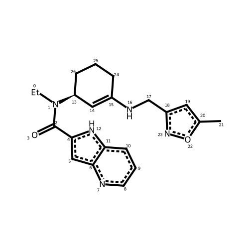 CCN(C(=O)c1cc2ncccc2[nH]1)[C@@H]1C=C(NCc2cc(C)on2)CCC1